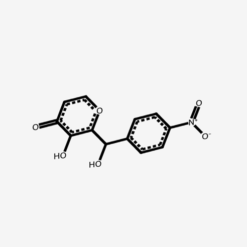 O=c1ccoc(C(O)c2ccc([N+](=O)[O-])cc2)c1O